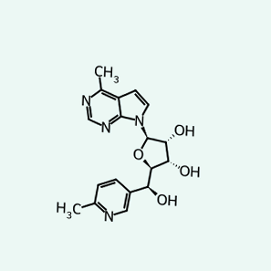 Cc1ccc([C@H](O)[C@H]2O[C@@H](n3ccc4c(C)ncnc43)[C@H](O)[C@@H]2O)cn1